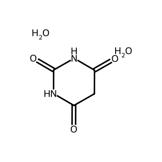 O.O.O=C1CC(=O)NC(=O)N1